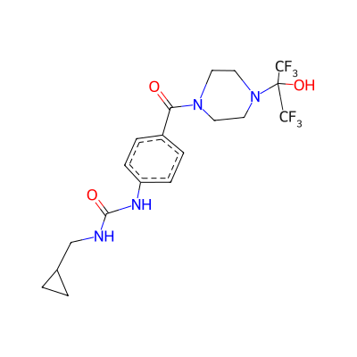 O=C(NCC1CC1)Nc1ccc(C(=O)N2CCN(C(O)(C(F)(F)F)C(F)(F)F)CC2)cc1